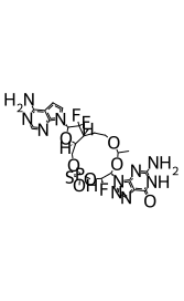 CC1OCC[C@@H]2[C@@H](COP(O)(=S)O[C@H](F)[C@H](n3nnc4c(=O)[nH]c(N)nc43)O1)O[C@@H](n1ccc3c(N)ncnc31)C2(F)F